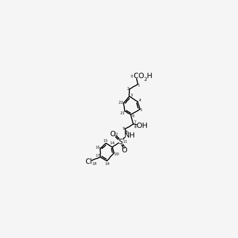 O=C(O)CCc1ccc(C(O)CNS(=O)(=O)c2ccc(Cl)cc2)cc1